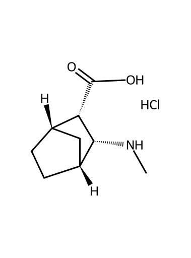 CN[C@@H]1[C@@H]2CC[C@@H](C2)[C@@H]1C(=O)O.Cl